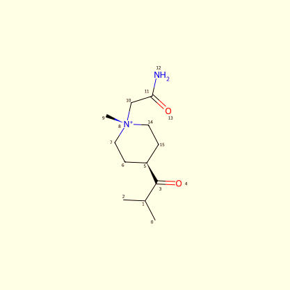 CC(C)C(=O)[C@H]1CC[N@+](C)(CC(N)=O)CC1